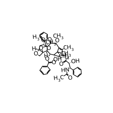 CO[C@H]1C(=O)[C@]2(C)[C@@H](OC)C[C@H]3OC[C@@]3(OC(=O)c3ccccc3)[C@H]2[C@H](OC(=O)c2ccccc2)[C@]2(O)C[C@H](OC(=O)[C@H](O)[C@@H](NC(C)=O)c3ccccc3)C(C)=C1C2(C)C